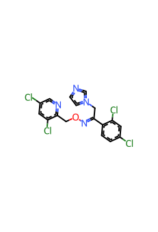 Clc1ccc(C(Cn2ccnc2)=NOCc2ncc(Cl)cc2Cl)c(Cl)c1